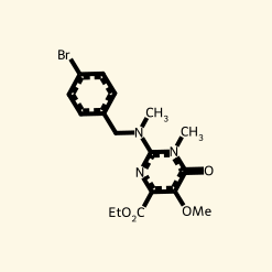 CCOC(=O)c1nc(N(C)Cc2ccc(Br)cc2)n(C)c(=O)c1OC